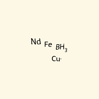 B.[Cu].[Fe].[Nd]